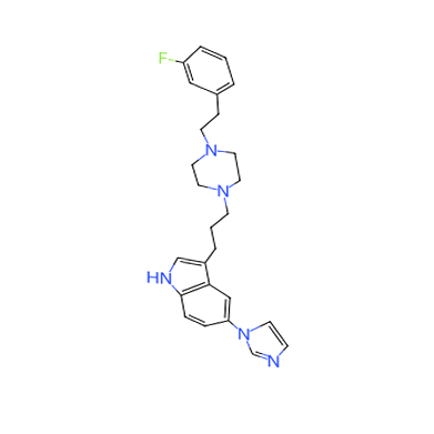 Fc1cccc(CCN2CCN(CCCc3c[nH]c4ccc(-n5ccnc5)cc34)CC2)c1